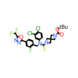 CC(C)(C)OC(=O)N1CC2(C1)CN(C(=S)N(Cc1ccc(-c3nnc(C(F)F)o3)cc1F)c1ccc(Cl)c(Cl)c1)C2